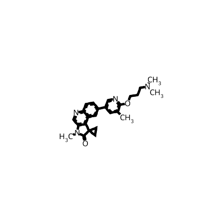 Cc1cc(-c2ccc3ncc4c(c3c2)C2(CC2)C(=O)N4C)cnc1OCCCN(C)C